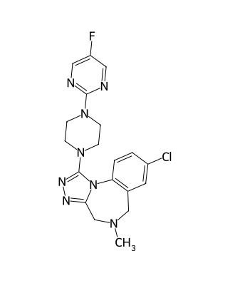 CN1Cc2cc(Cl)ccc2-n2c(nnc2N2CCN(c3ncc(F)cn3)CC2)C1